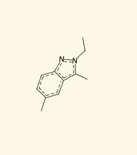 CCn1nc2ccc(C)cc2c1C